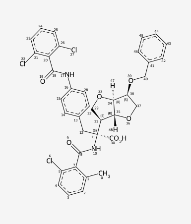 Cc1cccc(Cl)c1C(=O)N[C@](Cc1ccc(NC(=O)c2c(Cl)cccc2Cl)cc1)(C(=O)O)[C@H]1CO[C@@H]2[C@@H]1OC[C@@H]2OCc1ccccc1